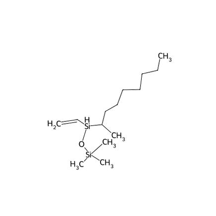 C=C[SiH](O[Si](C)(C)C)C(C)CCCCCCC